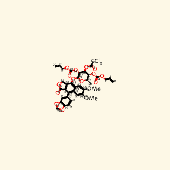 C=CCOC(=O)O[C@H]1[C@H](OC(=O)C(Cl)(Cl)Cl)[C@@H](OC(=O)OCC=C)C(Oc2c3c(c(-c4ccc5c(c4)OCO5)c4cc(OC)c(OC)cc24)C(=O)OC3)O[C@@H]1C